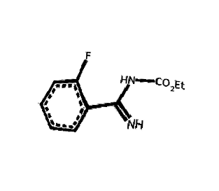 CCOC(=O)NC(=N)c1cc[c]cc1F